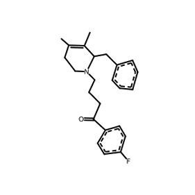 CC1=C(C)C(Cc2ccccc2)N(CCCC(=O)c2ccc(F)cc2)CC1